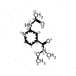 CON(C)C(=O)c1ccnc(NC(C)=O)c1